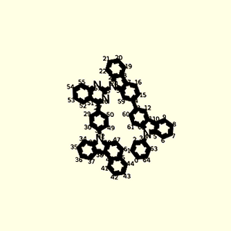 c1ccc(-n2c3ccccc3c3cc(-c4ccc5c6ccccc6n(-c6nc(-c7ccc(-n8c9ccccc9c9c%10ccccc%10ccc98)cc7)c7ccccc7n6)c5c4)ccc32)cc1